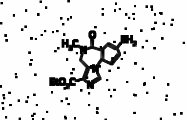 Bc1ccc2c(c1)C(=O)N(C)Cc1c(C(=O)OCC)ncn1-2